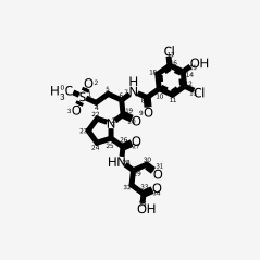 CS(=O)(=O)CCC(NC(=O)c1cc(Cl)c(O)c(Cl)c1)C(=O)N1CCCC1C(=O)NC(C=O)CC(=O)O